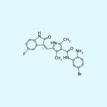 Cc1[nH]c(/C=C2\C(=O)Nc3ccc(F)cc32)c(C)c1C(=O)Nc1cc(Br)ccc1N